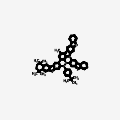 Cc1cc2c3c4c1c1cc5c(cc1n4-c1cc4c(cc1B3N(c1ccc(C(C)(C)C)cc1)c1cc3sc6cc7c(cc6c3cc1-2)C(C)(C)CCC7(C)C)sc1ccccc14)oc1ccccc15